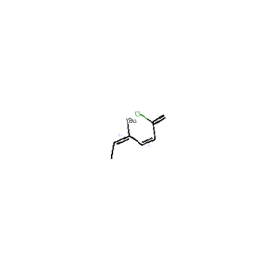 C=C(Cl)/C=C\C(=C/C)C(C)(C)C